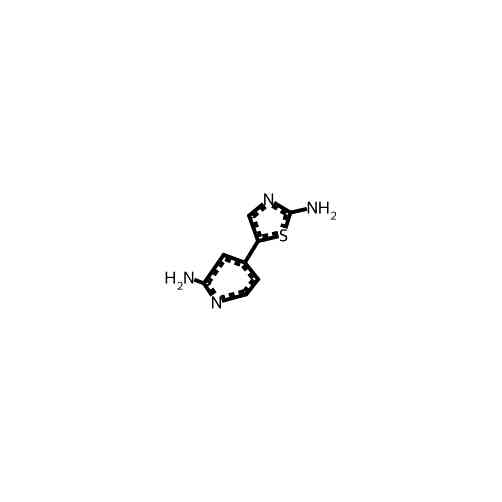 Nc1cc(-c2cnc(N)s2)ccn1